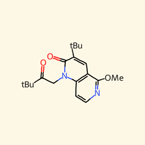 COc1nccc2c1cc(C(C)(C)C)c(=O)n2CC(=O)C(C)(C)C